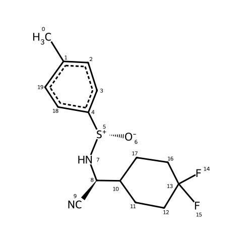 Cc1ccc([S@+]([O-])N[C@H](C#N)C2CCC(F)(F)CC2)cc1